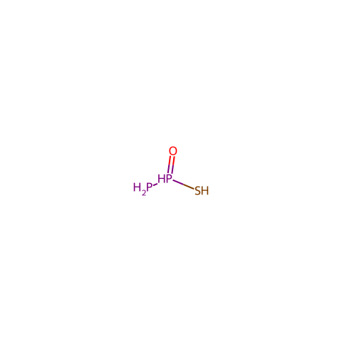 O=[PH](P)S